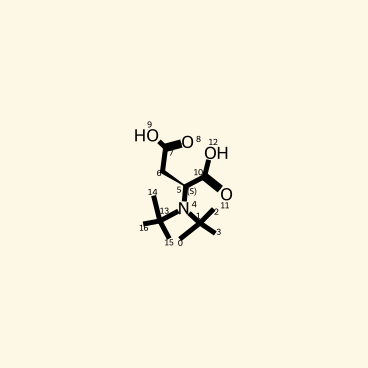 CC(C)(C)N([C@@H](CC(=O)O)C(=O)O)C(C)(C)C